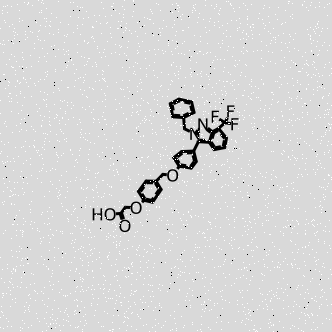 O=C(O)COc1ccc(COc2ccc(-c3c4cccc(C(F)(F)F)c4nn3Cc3ccccc3)cc2)cc1